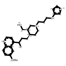 COc1ccc2nccc(C(F)CC[C@@H]3CCN(CCCSc4ccsc4)C[C@@H]3CO)c2c1